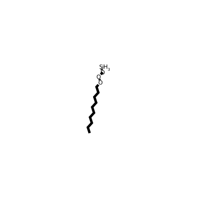 CCCCCCCCCCOOO[SiH3]